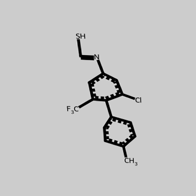 Cc1ccc(-c2c(Cl)cc(/N=C/S)cc2C(F)(F)F)cc1